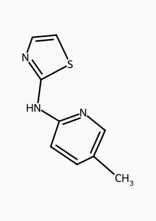 Cc1ccc(Nc2nccs2)nc1